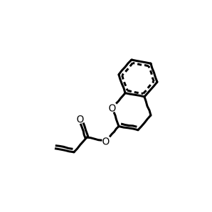 C=CC(=O)OC1=CCc2ccccc2O1